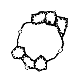 c1cc2oc3ccc4cc3c2cc1COCc1ccc2sc3ccc(cc3c2c1)COC4